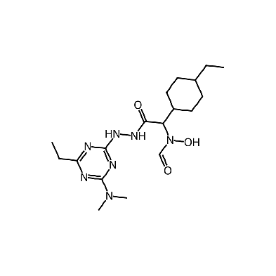 CCc1nc(NNC(=O)C(C2CCC(CC)CC2)N(O)C=O)nc(N(C)C)n1